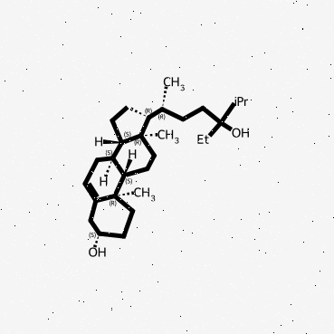 CCC(O)(CC[C@@H](C)[C@H]1CC[C@H]2[C@@H]3CC=C4C[C@@H](O)CC[C@]4(C)[C@H]3CC[C@]12C)C(C)C